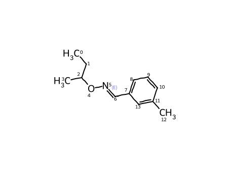 CCC(C)O/N=[C]/c1cccc(C)c1